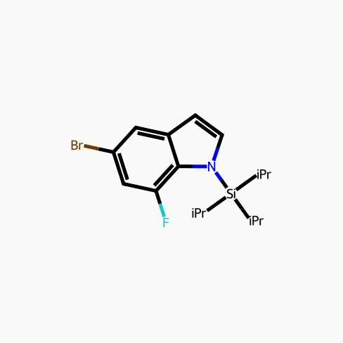 CC(C)[Si](C(C)C)(C(C)C)n1ccc2cc(Br)cc(F)c21